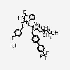 C[N+](C)(CCO)Cc1nnc(CN2C3=CC=CC3C(=O)NC2SCc2ccc(F)cc2)n1Cc1ccc(-c2ccc(C(F)(F)F)cc2)cc1.[Cl-]